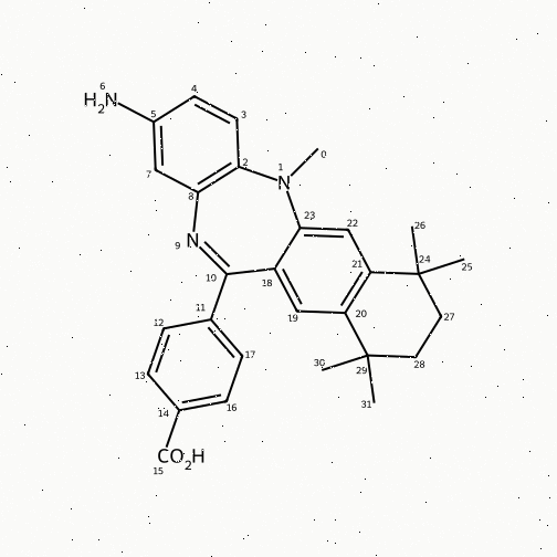 CN1c2ccc(N)cc2N=C(c2ccc(C(=O)O)cc2)c2cc3c(cc21)C(C)(C)CCC3(C)C